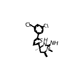 C=C1C[C@@](C)(c2ccc(-c3cc(Cl)cc(Cl)c3)s2)NC(=N)N1C